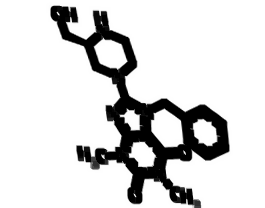 Cn1c(=O)c2c(nc(N3CCN[C@H](CO)C3)n2Cc2ccccc2)n(C)c1=O